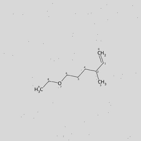 C=CC(C)CCCO[CH]C